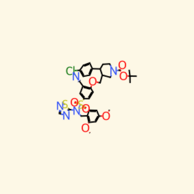 COc1ccc(CN(c2ncns2)S(=O)(=O)c2ccc(OCC3CN(C(=O)OC(C)(C)C)CCC3c3ccc(Cl)cc3)c(C#N)c2)c(OC)c1